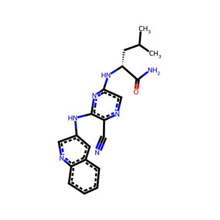 CC(C)C[C@@H](Nc1cnc(C#N)c(Nc2cnc3ccccc3c2)n1)C(N)=O